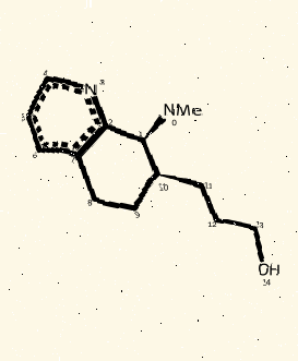 CN[C@@H]1c2ncccc2CC[C@@H]1CCCO